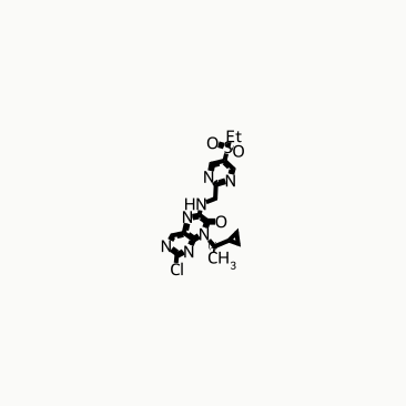 CCS(=O)(=O)c1cnc(CNc2nc3cnc(Cl)nc3n([C@@H](C)C3CC3)c2=O)nc1